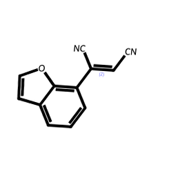 N#C/C=C(\C#N)c1cccc2ccoc12